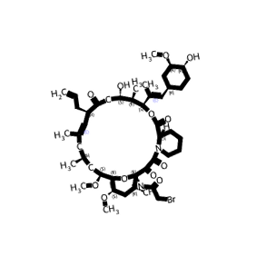 C=CC[C@@H]1/C=C(\C)C[C@H](C)C[C@H](OC)[C@H]2O[C@@](NC(=O)CBr)(C(=O)C(=O)N3CCCC[C@H]3C(=O)O[C@H](/C(C)=C/[C@@H]3CC[C@@H](O)[C@H](OC)C3)[C@H](C)[C@@H](O)CC1=O)[C@H](C)C[C@@H]2OC